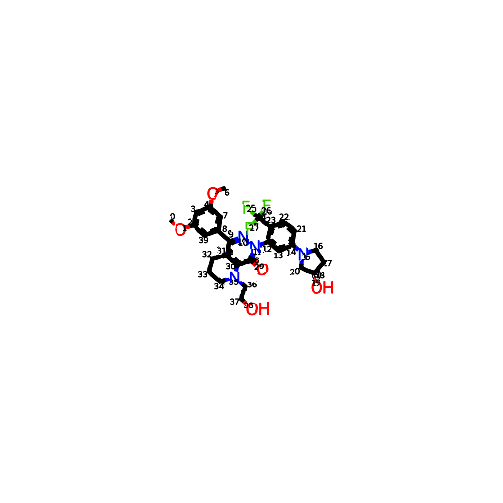 COc1cc(OC)cc(-c2nn(-c3cc(N4CC[C@H](O)C4)ccc3C(F)(F)F)c(=O)c3c2CCCN3CCO)c1